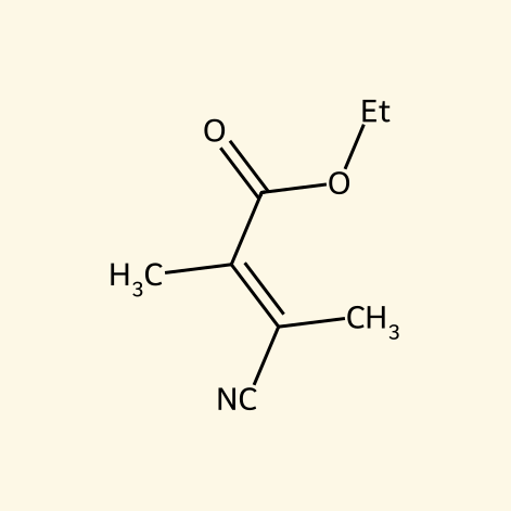 CCOC(=O)C(C)=C(C)C#N